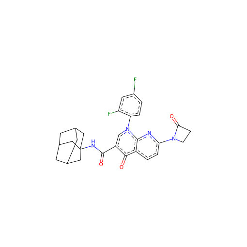 O=C(NC12CC3CC(CC(C3)C1)C2)c1cn(-c2ccc(F)cc2F)c2nc(N3CCC3=O)ccc2c1=O